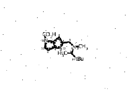 CC(N(C)Cc1cc2c(ccn2C(=O)O)s1)C(C)(C)C